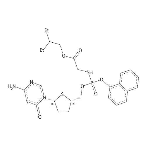 CCC(CC)COC(=O)CNP(=O)(OC[C@@H]1CC[C@H](n2cnc(N)nc2=O)S1)Oc1cccc2ccccc12